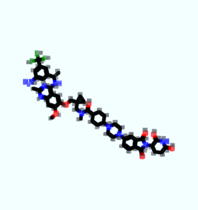 COc1cc2nc(C)nc(N[C@H](C)c3cc(N)cc(C(F)(F)F)c3)c2cc1OCC1(CN(C)C(=O)C2CCC(N3CCN(c4ccc5c(c4)C(=O)N(C4CCC(=O)NC4=O)C5=O)CC3)CC2)CC1